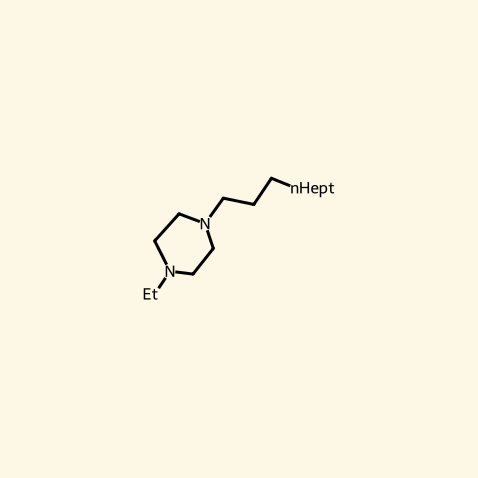 [CH2]CCCCCCCCCN1CCN(CC)CC1